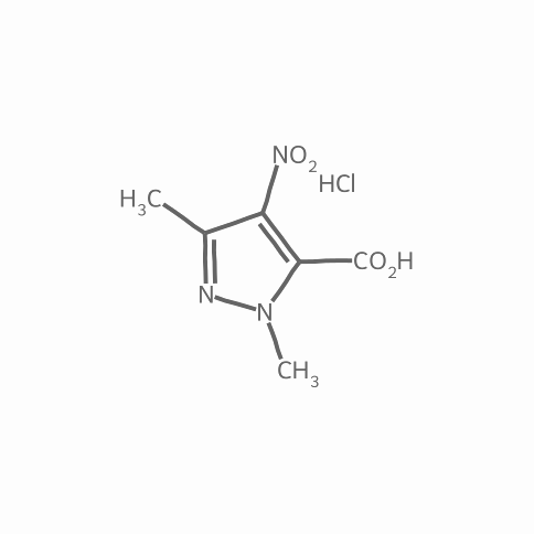 Cc1nn(C)c(C(=O)O)c1[N+](=O)[O-].Cl